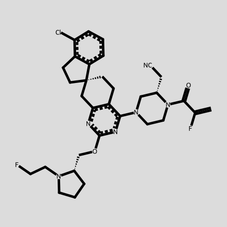 C=C(F)C(=O)N1CCN(c2nc(OC[C@@H]3CCCN3CCF)nc3c2CC[C@@]2(CCc4c(Cl)cccc42)C3)C[C@@H]1CC#N